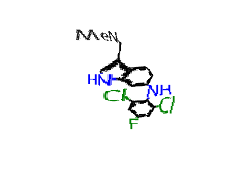 CNCc1c[nH]c2cc(Nc3c(Cl)cc(F)cc3Cl)ccc12